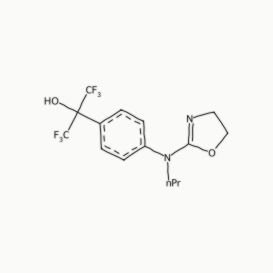 CCCN(C1=NCCO1)c1ccc(C(O)(C(F)(F)F)C(F)(F)F)cc1